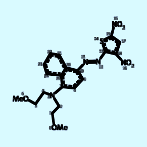 COCCN(CCOC)c1ccc(N=Nc2sc([N+](=O)[O-])cc2[N+](=O)[O-])c2ccccc12